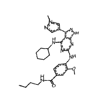 CCCCNC(=O)c1ccc(Nc2nc(NC3CCCCC3)c3c(-c4cnn(C)c4)n[nH]c3n2)c(OC)c1